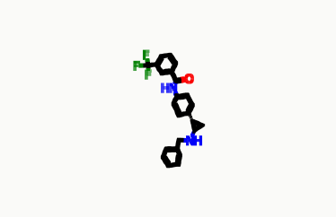 O=C(Nc1ccc([C@@H]2C[C@H]2NCc2ccccc2)cc1)c1cccc(C(F)(F)F)c1